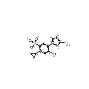 CCc1cc(C2CC2)c(S(=O)(=O)Cl)cc1-n1cnc(C(F)(F)F)n1